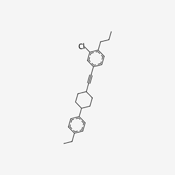 CCCc1ccc(C#CC2CCC(c3ccc(CC)cc3)CC2)cc1Cl